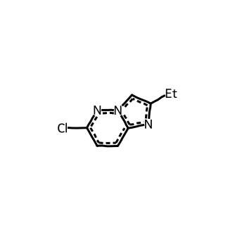 CCc1cn2nc(Cl)ccc2n1